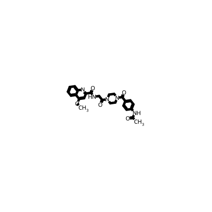 COc1cc(C(=O)NCC(=O)N2CCN(C(=O)c3ccc(NC(C)=O)cc3)CC2)nc2ccccc12